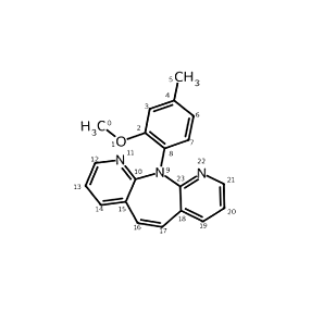 COc1cc(C)ccc1N1c2ncccc2C=Cc2cccnc21